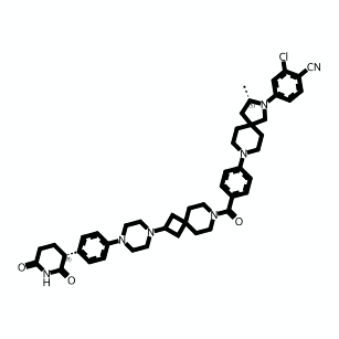 C[C@H]1CC2(CCN(c3ccc(C(=O)N4CCC5(CC4)CC(N4CCN(c6ccc([C@H]7CCC(=O)NC7=O)cc6)CC4)C5)cc3)CC2)CN1c1ccc(C#N)c(Cl)c1